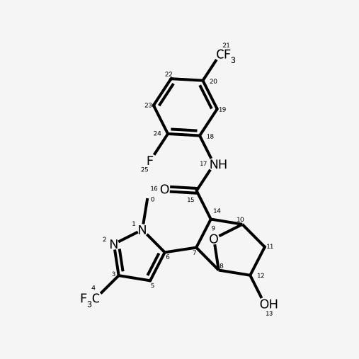 Cn1nc(C(F)(F)F)cc1C1C2OC(CC2O)C1C(=O)Nc1cc(C(F)(F)F)ccc1F